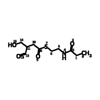 CCC(=O)NCCSC(=O)CC(C=O)CO